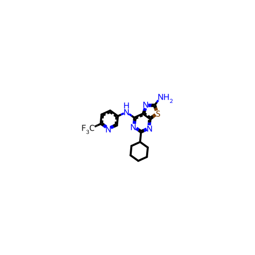 Nc1nc2c(Nc3ccc(C(F)(F)F)nc3)nc(C3CCCCC3)nc2s1